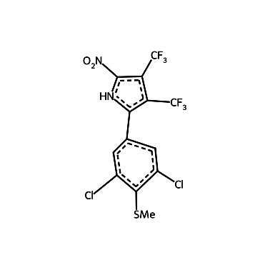 CSc1c(Cl)cc(-c2[nH]c([N+](=O)[O-])c(C(F)(F)F)c2C(F)(F)F)cc1Cl